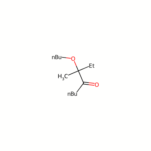 CCCCOC(C)(CC)C(=O)CCCC